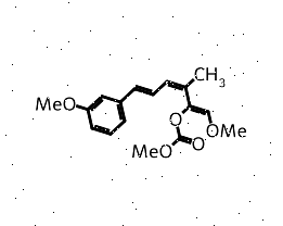 COC=C(OC(=O)OC)C(C)=CC=Cc1cccc(OC)c1